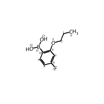 CCCOc1cc(F)ccc1B(O)O